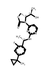 C[C@H](Nc1nccc(N2C(=O)OC[C@@H]2[C@@H](C)O)n1)c1ccc(C2(C)CC2)cc1F